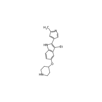 CCc1c(-c2ccnc(C)c2)[nH]c2ccc(OC3CCNCC3)cc12